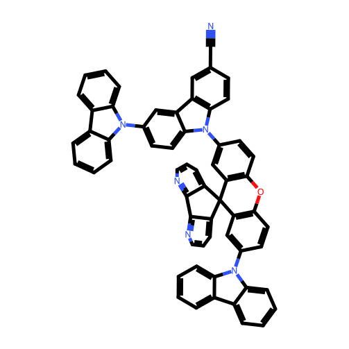 N#Cc1ccc2c(c1)c1cc(-n3c4ccccc4c4ccccc43)ccc1n2-c1ccc2c(c1)C1(c3cc(-n4c5ccccc5c5ccccc54)ccc3O2)c2cccnc2-c2ncccc21